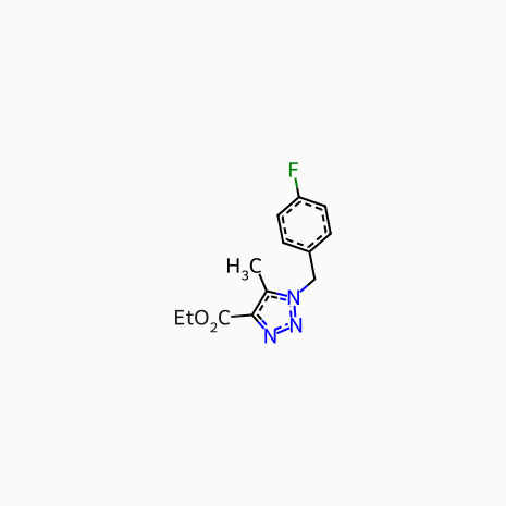 CCOC(=O)c1nnn(Cc2ccc(F)cc2)c1C